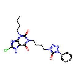 CCCCn1c(=O)n(CCCCn2nnn(-c3ccccc3)c2=O)c(=O)c2[nH]c(Cl)nc21